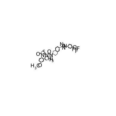 COc1ccc(N2C(=O)CSC2=NC(=O)NC2CCc3cc(-c4ncn(-c5ccc(OC(F)(F)F)cc5)n4)ccc3C2)c(C)c1